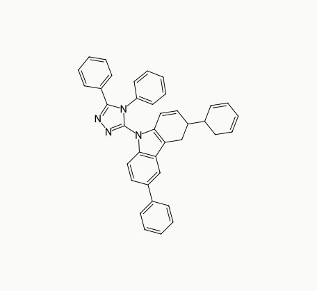 C1=CCC(C2C=Cc3c(c4cc(-c5ccccc5)ccc4n3-c3nnc(-c4ccccc4)n3-c3ccccc3)C2)C=C1